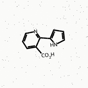 O=C(O)c1cccnc1-c1ccc[nH]1